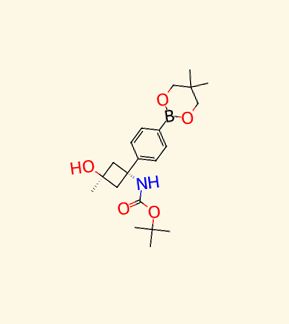 CC1(C)COB(c2ccc([C@]3(NC(=O)OC(C)(C)C)C[C@](C)(O)C3)cc2)OC1